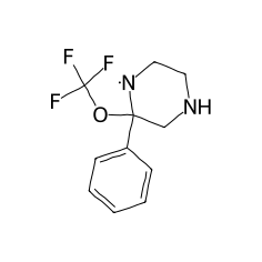 FC(F)(F)OC1(c2ccccc2)CNCC[N]1